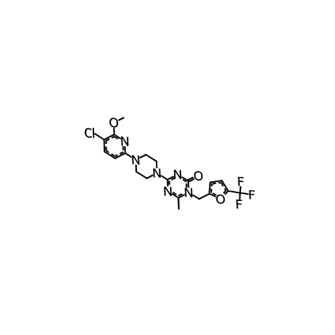 COc1nc(N2CCN(c3nc(C)n(Cc4ccc(C(F)(F)F)o4)c(=O)n3)CC2)ccc1Cl